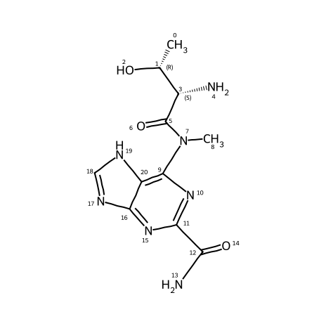 C[C@@H](O)[C@H](N)C(=O)N(C)c1nc(C(N)=O)nc2nc[nH]c12